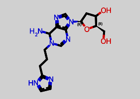 NC1c2ncn([C@H]3CC(O)[C@@H](CO)O3)c2N=CN1CCCc1ncc[nH]1